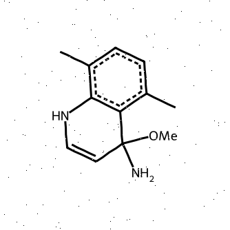 COC1(N)C=CNc2c(C)ccc(C)c21